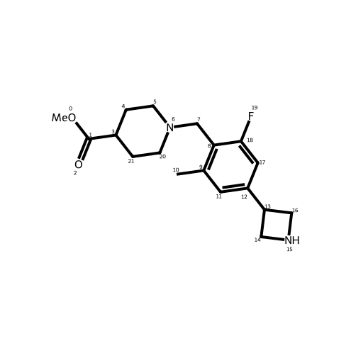 COC(=O)C1CCN(Cc2c(C)cc(C3CNC3)cc2F)CC1